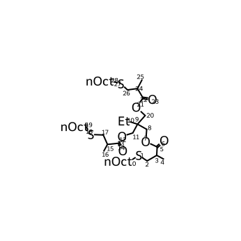 CCCCCCCCSCC(C)C(=O)OCC(CC)(COC(=O)C(C)CSCCCCCCCC)COC(=O)C(C)CSCCCCCCCC